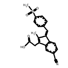 CC1=C(CC(=O)O)c2cc(C#N)ccc2/C1=C/c1ccc(S(C)(=O)=O)cc1